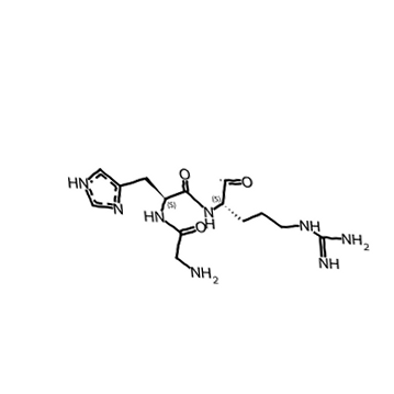 N=C(N)NCCC[C@@H]([C]=O)NC(=O)[C@H](Cc1c[nH]cn1)NC(=O)CN